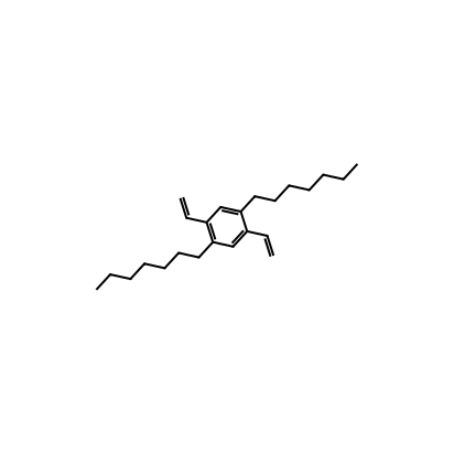 C=Cc1cc(CCCCCCC)c(C=C)cc1CCCCCCC